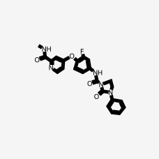 CNC(=O)c1cc(Oc2ccc(NC(=O)N3CCN(c4ccccc4)C3=O)cc2F)ccn1